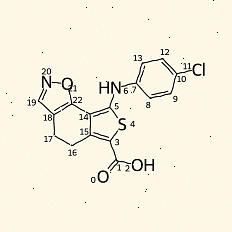 O=C(O)c1sc(Nc2ccc(Cl)cc2)c2c1CCc1cnoc1-2